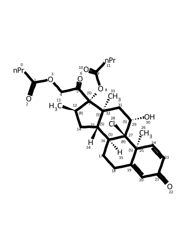 CCCC(=O)OCC(=O)[C@]1(OC(=O)CCC)[C@H](C)C[C@H]2[C@@H]3CCC4=CC(=O)C=C[C@]4(C)[C@@]3(Cl)[C@@H](O)C[C@@]21C